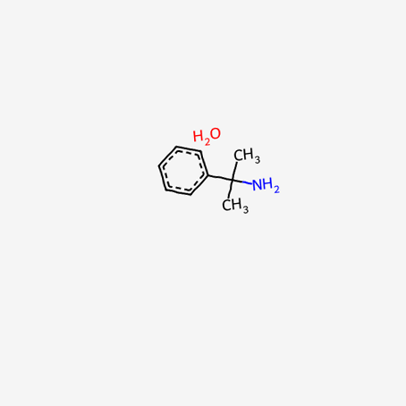 CC(C)(N)c1ccccc1.O